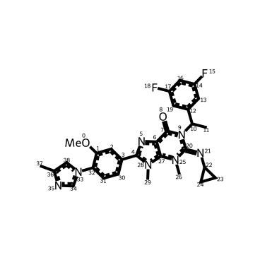 COc1cc(-c2nc3c(=O)n(C(C)c4cc(F)cc(F)c4)/c(=N/C4CC4)n(C)c3n2C)ccc1-n1cnc(C)c1